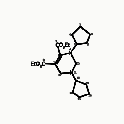 CCOC(=O)C1=C(C(=O)OCC)N(C2CCCC2)CN(C2CCCC2)C1